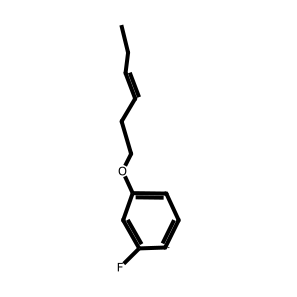 CCC=CCCOc1cc[c]c(F)c1